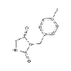 O=C1CNC(=O)N1Cc1ccc(I)cc1